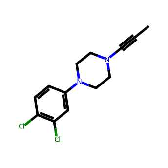 CC#CN1CCN(c2ccc(Cl)c(Cl)c2)CC1